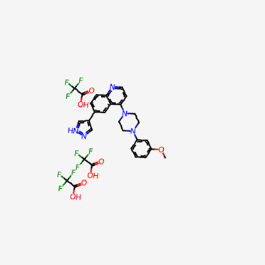 COc1cccc(N2CCN(c3ccnc4ccc(-c5cn[nH]c5)cc34)CC2)c1.O=C(O)C(F)(F)F.O=C(O)C(F)(F)F.O=C(O)C(F)(F)F